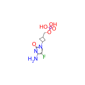 Nc1nc(=O)n(C2CC(COP(=O)(O)O)C2)cc1F